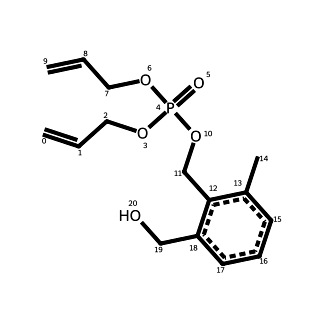 C=CCOP(=O)(OCC=C)OCc1c(C)cccc1CO